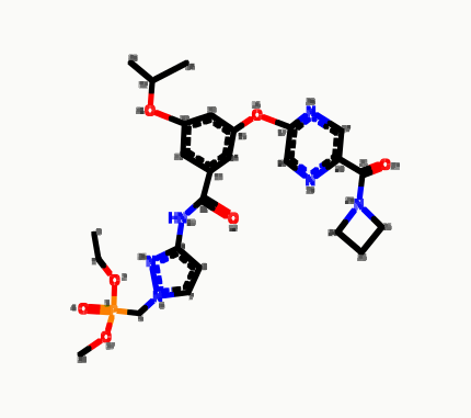 CCOP(=O)(Cn1ccc(NC(=O)c2cc(Oc3cnc(C(=O)N4CCC4)cn3)cc(OC(C)C)c2)n1)OC